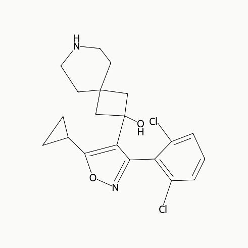 OC1(c2c(-c3c(Cl)cccc3Cl)noc2C2CC2)CC2(CCNCC2)C1